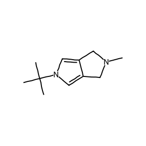 CN1Cc2cn(C(C)(C)C)cc2C1